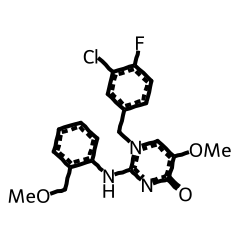 COCc1ccccc1Nc1nc(=O)c(OC)cn1Cc1ccc(F)c(Cl)c1